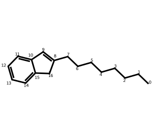 CCCCCCCCC1=Cc2ccccc2[CH]1